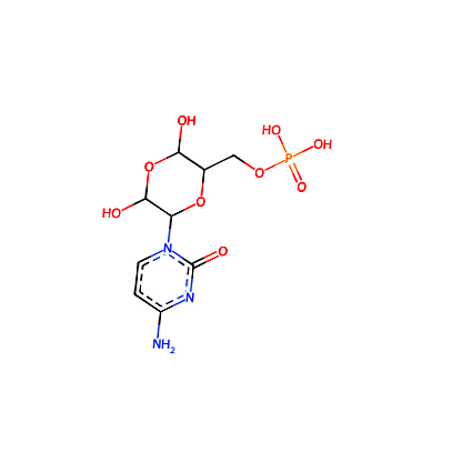 Nc1ccn(C2OC(COP(=O)(O)O)C(O)OC2O)c(=O)n1